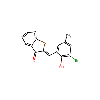 Cc1cc(Br)c(O)c(/C=C2\Sc3ccccc3C2=O)c1